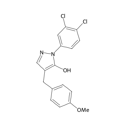 COc1ccc(Cc2cnn(-c3ccc(Cl)c(Cl)c3)c2O)cc1